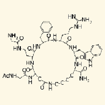 CC(=O)NCC(=O)NC1CC(=O)NCCCCC(C(N)=O)NC(=O)[C@H](Cc2c[nH]c3ccccc23)NC(=O)C(CCCNC(=N)N)NC(=O)C(Cc2ccccc2)NC(=O)[C@H](CCNC(=O)CN)NC1=O